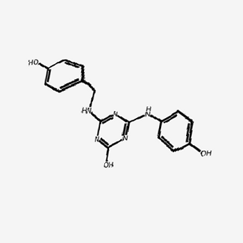 Oc1ccc(CNc2nc(O)nc(Nc3ccc(O)cc3)n2)cc1